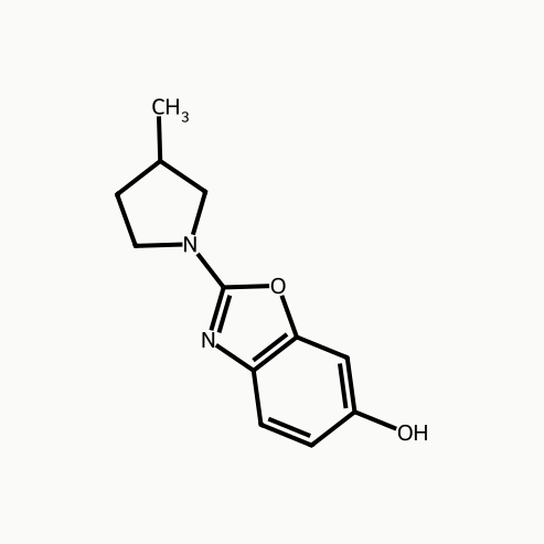 CC1CCN(c2nc3ccc(O)cc3o2)C1